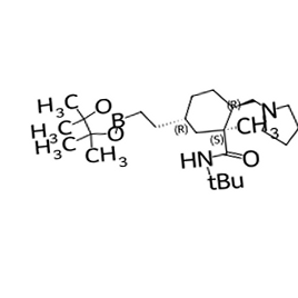 CC(C)(C)NC(=O)[C@@]1(C)C[C@H](CCB2OC(C)(C)C(C)(C)O2)CC[C@H]1CN1CCCC1